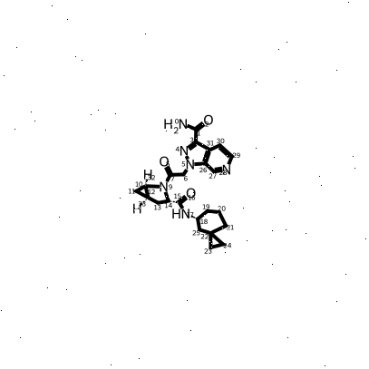 NC(=O)c1nn(CC(=O)N2[C@@H]3C[C@@H]3C[C@H]2C(=O)N[C@@H]2CCCC3(CC3)C2)c2cnccc12